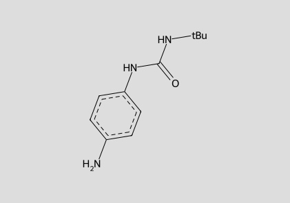 CC(C)(C)NC(=O)Nc1ccc(N)cc1